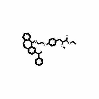 CCOC(=O)C(Cc1ccc(OCCOC2c3ccccc3C=Cc3ccc(C(C)c4ccccc4)cc32)cc1)OC